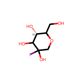 OCC1OCC(O)(I)C(O)[C@@H]1O